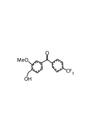 COc1cc(C(=O)c2ccc(C(F)(F)F)cc2)ccc1CO